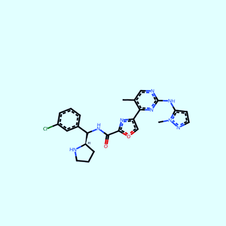 Cc1cnc(Nc2ccnn2C)nc1-c1coc(C(=O)NC(c2cccc(Cl)c2)[C@H]2CCCN2)n1